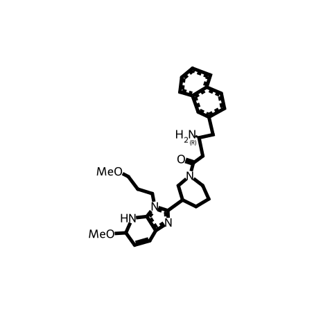 COCCCn1c(C2CCCN(C(=O)C[C@H](N)Cc3ccc4ccccc4c3)C2)nc2c1NC(OC)C=C2